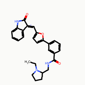 CCN1CCCC1CNC(=O)c1cccc(-c2ccc(/C=C3/C(=O)Nc4ccccc43)o2)c1